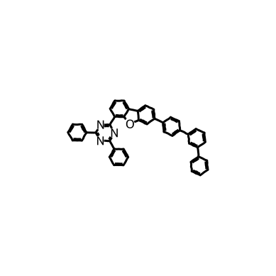 c1ccc(-c2cccc(-c3ccc(-c4ccc5c(c4)oc4c(-c6nc(-c7ccccc7)nc(-c7ccccc7)n6)cccc45)cc3)c2)cc1